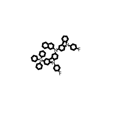 Fc1ccc(-n2c3ccccc3c3cc(N(c4ccc5ccccc5c4)c4ccc5c(c4)c4cc([Si](c6ccccc6)(c6ccccc6)c6ccccc6)ccc4n5-c4ccc(F)cc4)ccc32)cc1